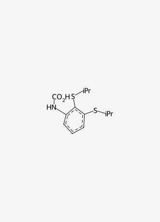 CC(C)Sc1cccc(NC(=O)O)c1SC(C)C